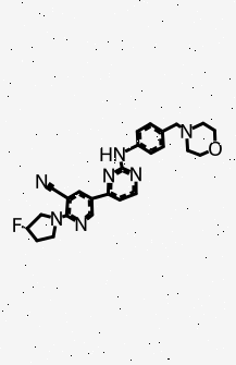 N#Cc1cc(-c2ccnc(Nc3ccc(CN4CCOCC4)cc3)n2)cnc1N1CC[C@H](F)C1